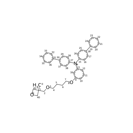 CC1(COCCCCOc2cccc(N(c3ccc(-c4ccccc4)cc3)c3ccc(-c4ccccc4)cc3)c2)COC1